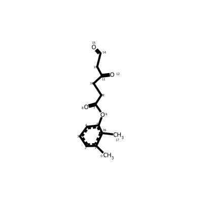 Cc1cccc(OC(=O)CCC(=O)CC=O)c1C